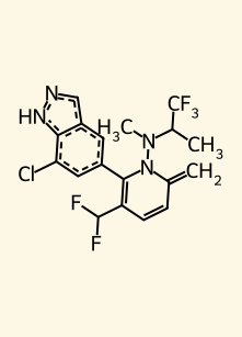 C=C1C=CC(C(F)F)=C(c2cc(Cl)c3[nH]ncc3c2)N1N(C)C(C)C(F)(F)F